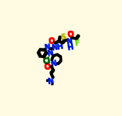 C=C(F)C(=O)Nc1cc(C(=O)Nc2nc3cccc(Cl)c3n2[C@@H]2CCCCN(C(=O)/C=C/CN(C)C)C2)cs1